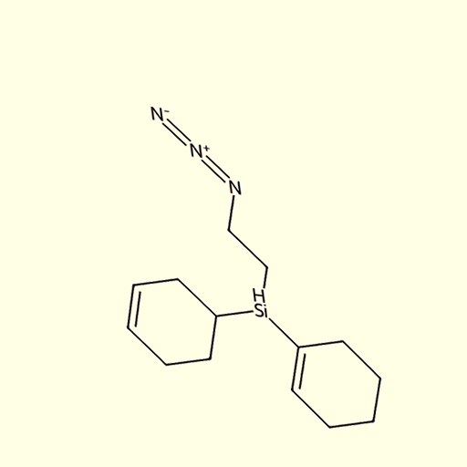 [N-]=[N+]=NCC[SiH](C1=CCCCC1)C1CC=CCC1